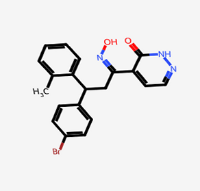 Cc1ccccc1C(C/C(=N/O)c1ccn[nH]c1=O)c1ccc(Br)cc1